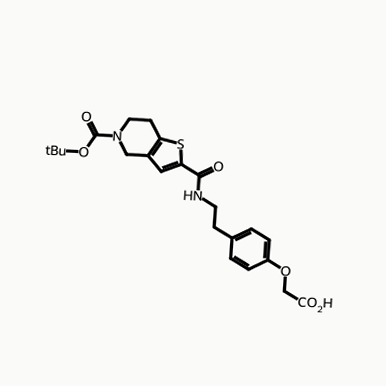 CC(C)(C)OC(=O)N1CCc2sc(C(=O)NCCc3ccc(OCC(=O)O)cc3)cc2C1